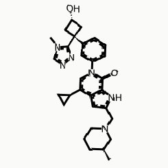 C[C@H]1CCCN(Cc2cc3c(C4CC4)cn(-c4cccc([C@]5(c6nncn6C)C[C@@H](O)C5)c4)c(=O)c3[nH]2)C1